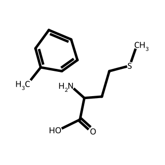 CSCCC(N)C(=O)O.Cc1ccccc1